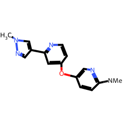 CNc1ccc(Oc2ccnc(-c3cnn(C)c3)c2)cn1